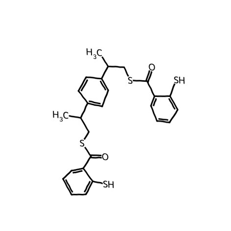 CC(CSC(=O)c1ccccc1S)c1ccc(C(C)CSC(=O)c2ccccc2S)cc1